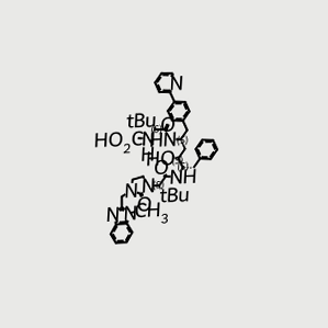 Cn1c(CN2CCN([C@H](C(=O)N[C@@H](Cc3ccccc3)[C@@H](O)C[C@H](Cc3ccc(-c4ccccn4)cc3)NC(=O)[C@@H](NC(=O)O)C(C)(C)C)C(C)(C)C)C2=O)nc2ccccc21